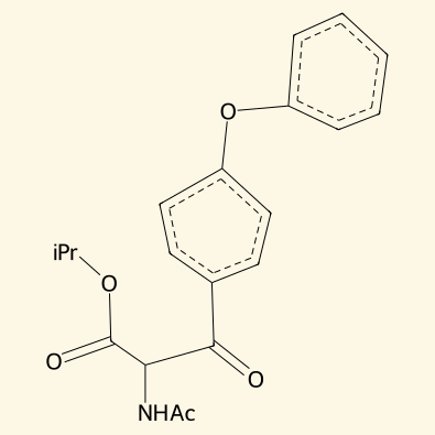 CC(=O)NC(C(=O)OC(C)C)C(=O)c1ccc(Oc2ccccc2)cc1